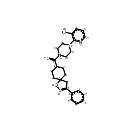 O=C(C1CCC2(CC1)CC(c1ccccc1)=NO2)N1CCN(c2ncccc2Cl)CC1